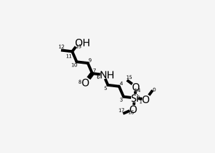 CO[Si](CCCNC(=O)CCC(C)O)(OC)OC